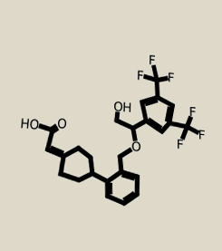 O=C(O)C=C1CCC(c2ccccc2COC(CO)c2cc(C(F)(F)F)cc(C(F)(F)F)c2)CC1